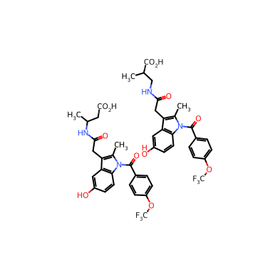 Cc1c(CC(=O)NC(C)CC(=O)O)c2cc(O)ccc2n1C(=O)c1ccc(OC(F)(F)F)cc1.Cc1c(CC(=O)NCC(C)C(=O)O)c2cc(O)ccc2n1C(=O)c1ccc(OC(F)(F)F)cc1